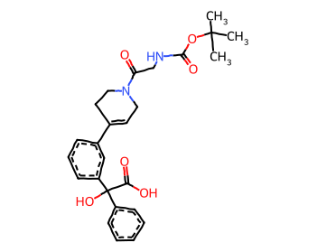 CC(C)(C)OC(=O)NCC(=O)N1CC=C(c2cccc(C(O)(C(=O)O)c3ccccc3)c2)CC1